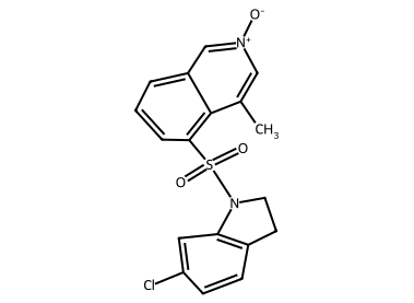 Cc1c[n+]([O-])cc2cccc(S(=O)(=O)N3CCc4ccc(Cl)cc43)c12